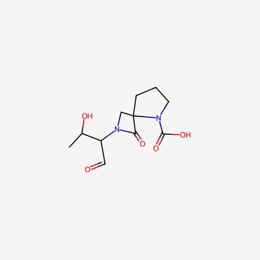 CC(O)C(C=O)N1CC2(CCCN2C(=O)O)C1=O